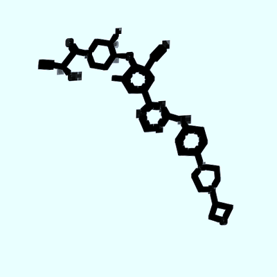 C#C[C@H](O)C(=O)N1CC[C@H](Oc2c(C)cc(-c3ncnc(Nc4ccc(N5CCN(C6COC6)CC5)cc4)n3)cc2C#N)[C@H](F)C1